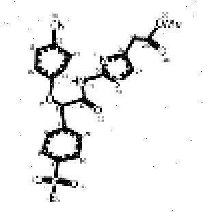 CCS(=O)(=O)c1ccc(C(Oc2ccc(C#N)cc2)C(=O)Nc2nc(CC(=O)OC)cs2)cc1